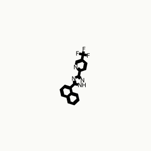 FC(F)(F)c1ccc(-c2n[nH]c(-c3cccc4ccccc34)n2)nc1